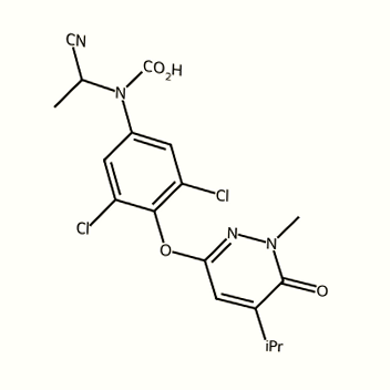 CC(C)c1cc(Oc2c(Cl)cc(N(C(=O)O)C(C)C#N)cc2Cl)nn(C)c1=O